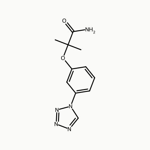 CC(C)(Oc1cccc(-n2cnnn2)c1)C(N)=O